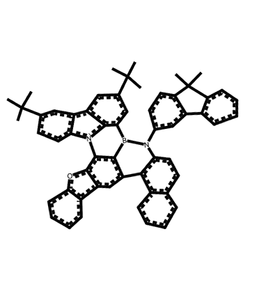 CC(C)(C)c1ccc2c(c1)c1cc(C(C)(C)C)cc3c1n2-c1c2c(cc4c1oc1ccccc14)-c1c(ccc4ccccc14)N(c1ccc4c(c1)-c1ccccc1C4(C)C)B23